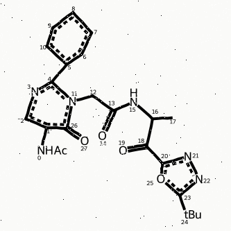 CC(=O)Nc1cnc(-c2ccccc2)n(CC(=O)NC(C)C(=O)c2nnc(C(C)(C)C)o2)c1=O